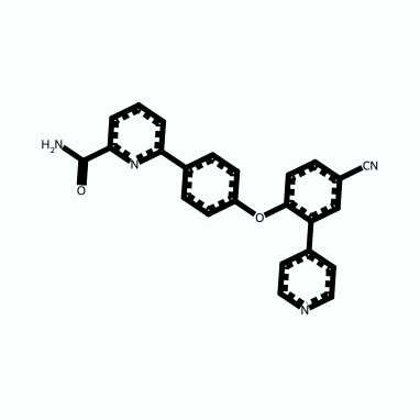 N#Cc1ccc(Oc2ccc(-c3cccc(C(N)=O)n3)cc2)c(-c2ccncc2)c1